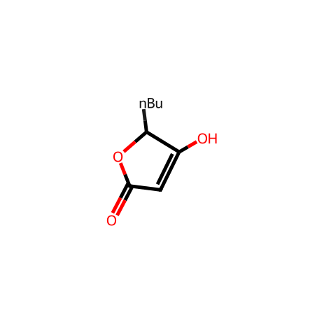 CCCCC1OC(=O)C=C1O